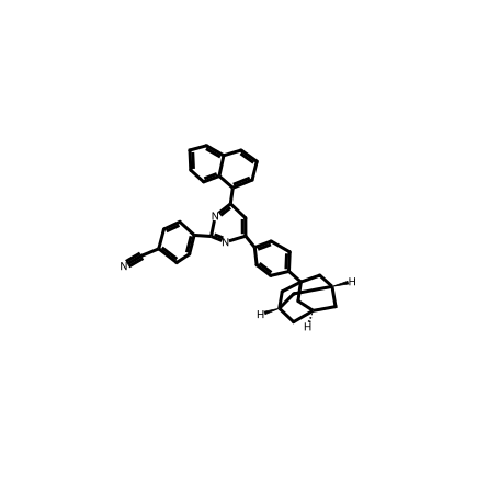 N#Cc1ccc(-c2nc(-c3ccc(C45C[C@H]6C[C@@H](C4)C[C@@H](C5)C6)cc3)cc(-c3cccc4ccccc34)n2)cc1